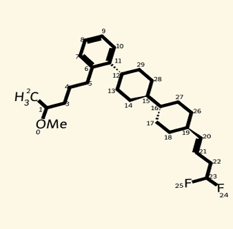 COC(C)CCCc1ccccc1[C@H]1CC[C@H]([C@H]2CC[C@H](C=CCC(F)F)CC2)CC1